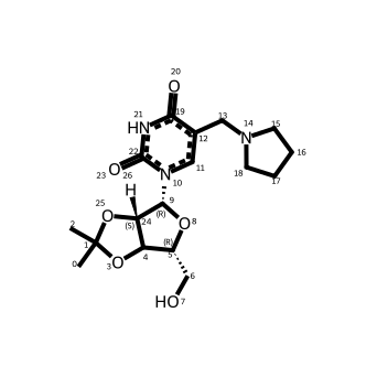 CC1(C)OC2[C@@H](CO)O[C@@H](n3cc(CN4CCCC4)c(=O)[nH]c3=O)[C@H]2O1